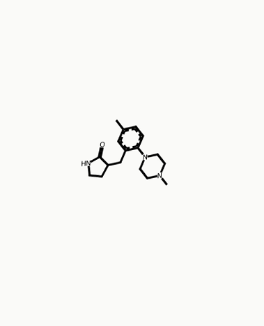 Cc1ccc(N2CCN(C)CC2)c(CC2CCNC2=O)c1